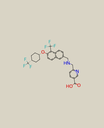 O=C(O)c1ccc(CNCc2ccc3c(C(F)(F)F)c(O[C@H]4CC[C@@H](C(F)(F)F)CC4)ccc3c2)nc1